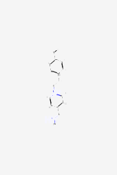 C=Cc1ccc(CC[n+]2ccc(CNCC)cc2)cc1